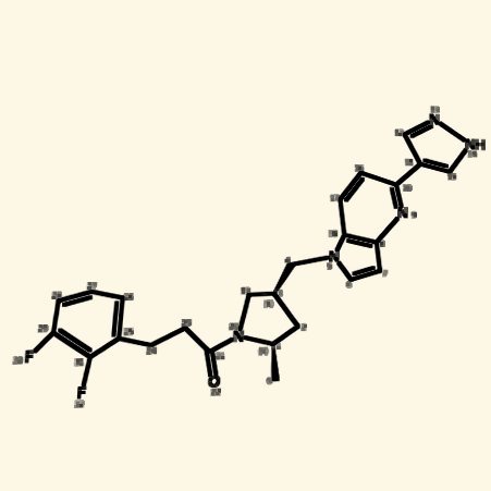 C[C@@H]1C[C@H](Cn2ccc3nc(-c4cn[nH]c4)ccc32)CN1C(=O)CCc1cccc(F)c1F